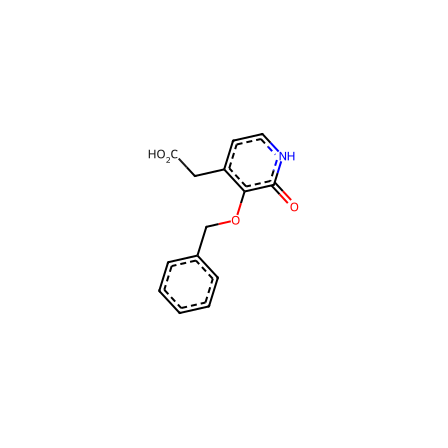 O=C(O)Cc1cc[nH]c(=O)c1OCc1ccccc1